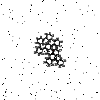 c1ccc(-c2c(-c3ccccc3)c(-c3ccccc3)c3cc(-c4ccccc4N(c4ccccc4)c4ccccc4)ccc3c2-c2ccccc2)cc1